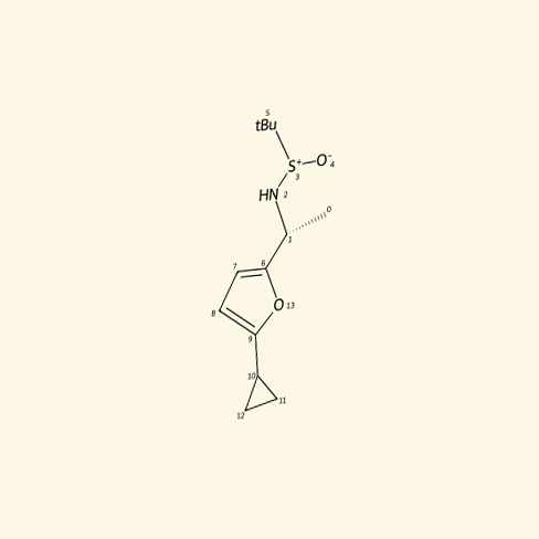 C[C@@H](N[S+]([O-])C(C)(C)C)c1ccc(C2CC2)o1